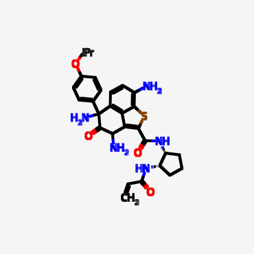 C=CC(=O)N[C@H]1CCC[C@H]1NC(=O)c1sc2c(N)ccc3c2c1C(N)C(=O)C3(N)c1ccc(OC(C)C)cc1